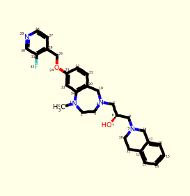 CN1CCN(C[C@H](O)CN2CCc3ccccc3C2)Cc2ccc(OCc3ccncc3F)cc21